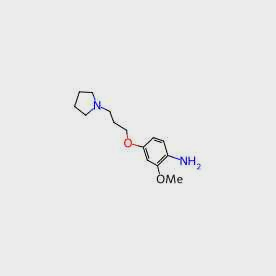 COc1cc(OCCCN2CCCC2)ccc1N